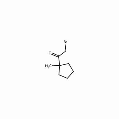 CC1(C(=O)CBr)CCCC1